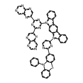 c1ccc(N2c3ccccc3Sc3ccc(-c4nccc(-n5c6ccccc6c6cc7c8ccccc8n(-c8nc(-c9cnc%10ncncc%10n9)nc(-c9cnc%10ncncc%10n9)n8)c7cc65)n4)cc32)cc1